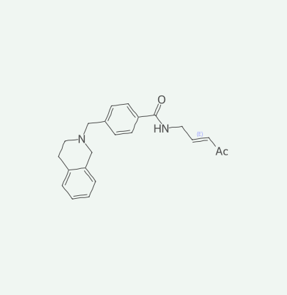 CC(=O)/C=C/CNC(=O)c1ccc(CN2CCc3ccccc3C2)cc1